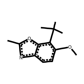 COc1ccc2nc(C)oc2c1C(C)(C)C